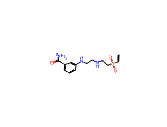 C=CS(=O)(=O)CCNCCNc1cccc(C(N)=O)c1